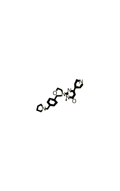 Cn1c(N2CCOC(c3ccc(CN4CCCC4)cc3)C2)nc(-c2ccncc2)cc1=O